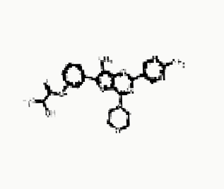 Cc1c(-c2cccc(NC(=O)C(C)O)c2)sc2c(N3CCOCC3)nc(-c3cnc(N)nc3)nc12